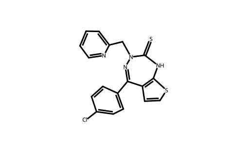 S=C1Nc2sccc2C(c2ccc(Cl)cc2)=NN1Cc1ccccn1